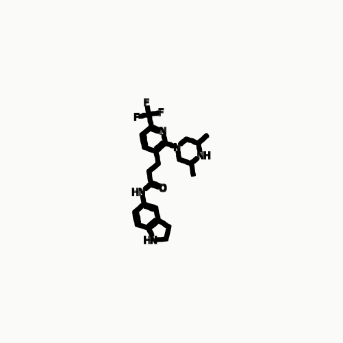 CC1CN(c2nc(C(F)(F)F)ccc2CCC(=O)Nc2ccc3c(c2)CCN3)CC(C)N1